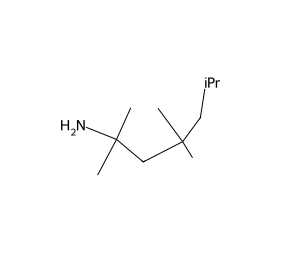 CC(C)CC(C)(C)CC(C)(C)N